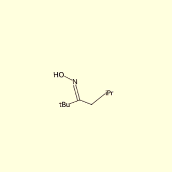 CC(C)CC(=NO)C(C)(C)C